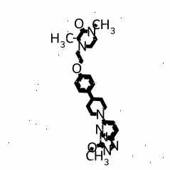 COc1nnc2ccc(N3CCC(c4ccc(OCCN5CCN(C)C(=O)[C@H]5C)cc4)CC3)nn12